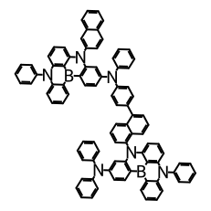 c1ccc(N(c2ccc(-c3cccc4c(N5c6cc(N(c7ccccc7)c7ccccc7)ccc6B6c7ccccc7N(c7ccccc7)c7cccc5c76)cccc34)cc2)c2ccc3c(c2)N(c2ccc4ccccc4c2)c2cccc4c2B3c2ccccc2N4c2ccccc2)cc1